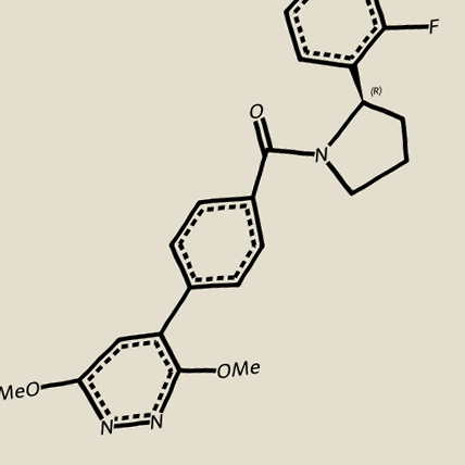 COc1cc(-c2ccc(C(=O)N3CCC[C@@H]3c3ccccc3F)cc2)c(OC)nn1